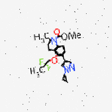 COC(=O)N1c2ccc(-c3cnn(C4CC4)c3)c(OCC(C)(F)F)c2CCC1C